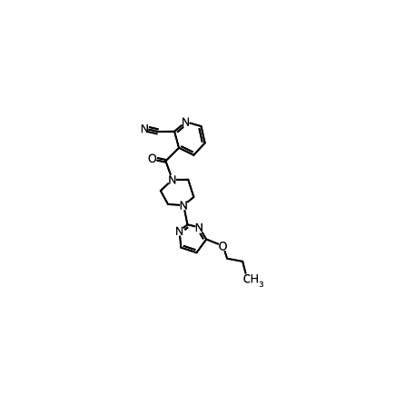 CCCOc1ccnc(N2CCN(C(=O)c3cccnc3C#N)CC2)n1